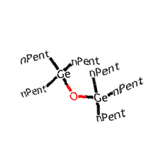 CCCC[CH2][Ge]([CH2]CCCC)([CH2]CCCC)[O][Ge]([CH2]CCCC)([CH2]CCCC)[CH2]CCCC